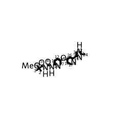 COC(C)(C)C(=O)NC(=O)Nc1ccc(Oc2ccnc(-c3c[nH]c(C)n3)c2)cn1